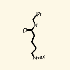 [CH2]CCCCCCCCCC(=O)[N]CC(C)C